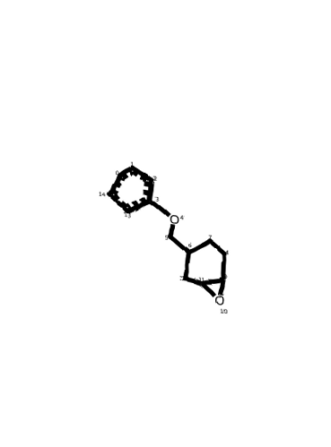 c1ccc(OCC2CCC3OC3C2)cc1